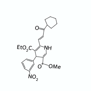 CCOC(=O)C1=C(/C=C/C(=O)C2CCCCC2)NC=C(C(=O)OC)C1c1cccc([N+](=O)[O-])c1